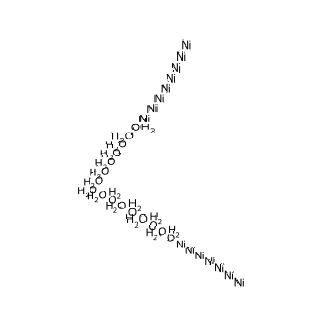 O.O.O.O.O.O.O.O.O.O.O.O.O.O.O.O.[Ni].[Ni].[Ni].[Ni].[Ni].[Ni].[Ni].[Ni].[Ni].[Ni].[Ni].[Ni].[Ni].[Ni].[Ni]